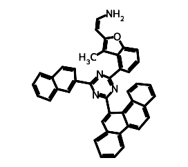 Cc1c(/C=C\N)oc2cccc(-c3nc(-c4ccc5ccccc5c4)nc(-c4cc5ccccc5c5ccc6ccccc6c45)n3)c12